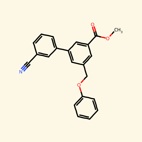 COC(=O)c1cc(COc2ccccc2)cc(-c2cccc(C#N)c2)c1